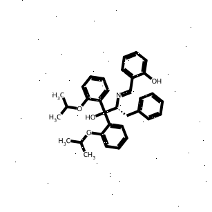 CC(C)Oc1ccccc1C(O)(c1ccccc1OC(C)C)[C@@H](Cc1ccccc1)N=Cc1ccccc1O